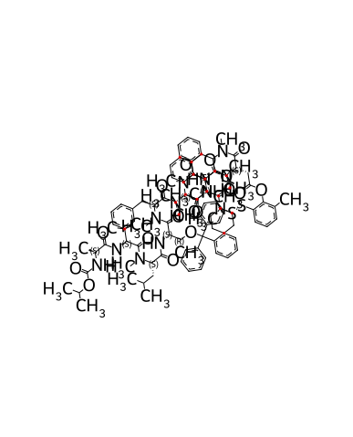 CCSSc1cccc(C)c1OC(=O)C[C@H](NC(=O)[C@H](Cc1ccccc1)NC(=O)[C@H](C(C)C)N(C)C(=O)[C@H](CC(C)C)N(C)C(=O)CNC(=O)[C@H](Cc1ccccc1)N(C)C(=O)[C@@H](NC(=O)[C@H](CC(C)C)N(C)C(=O)[C@@H](NC(=O)[C@H](C)NC(=O)OC(C)C)C(C)C)[C@@H](C)OC(c1ccccc1)(c1ccccc1)c1ccccc1)C(=O)N(C)C(Cc1ccccc1)C(=O)N[C@@H](C)C(=O)N1CCCCC1